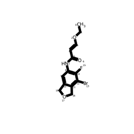 CCOC=CC(=O)Nc1cc2c(c(Br)c1F)COC2